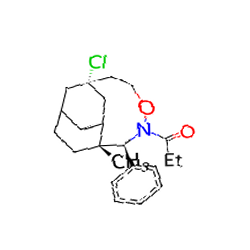 CCC(=O)N1OCC[C@]2(Cl)CC3CC[C@](C)(C(C3)C2)[C@@H]1c1ccccc1